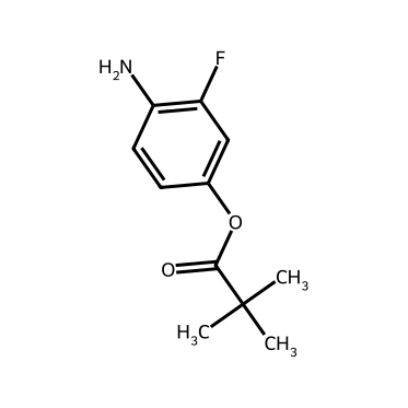 CC(C)(C)C(=O)Oc1ccc(N)c(F)c1